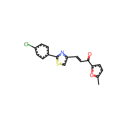 Cc1ccc(C(=O)C=Cc2csc(-c3ccc(Cl)cc3)n2)o1